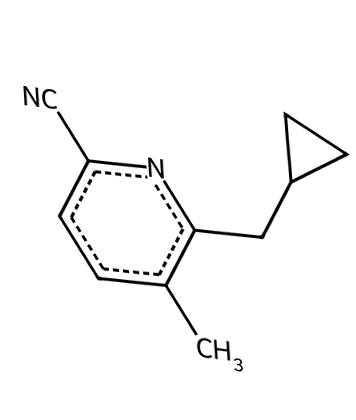 Cc1ccc(C#N)nc1CC1CC1